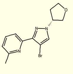 Cc1cccc(-c2nn([C@@H]3CCOC3)cc2Br)n1